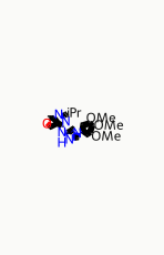 COc1cc(-n2cnc(Nc3nc(C(C)C)nc4c3COC4)c2)cc(OC)c1OC